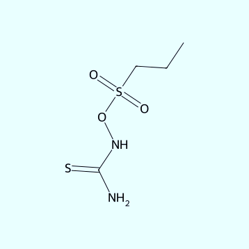 CCCS(=O)(=O)ONC(N)=S